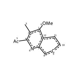 COc1c(C)c(C(C)=O)nc2ccccc12